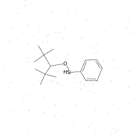 CC(C)(C)C(O[SiH]c1ccccc1)C(C)(C)C